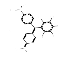 [2H]c1c([2H])c([2H])c(C(=C2C=CC(=[N+](C)C)C=C2)c2ccc(N(C)C)cc2)c([2H])c1[2H].[Cl-]